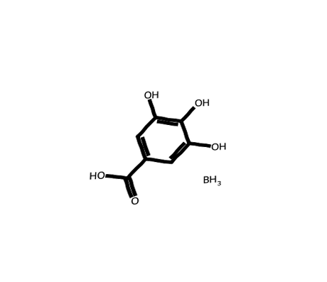 B.O=C(O)c1cc(O)c(O)c(O)c1